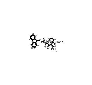 C=CC(C(=O)CNC(=O)OCC1c2ccccc2-c2ccccc21)C1(C(=O)OC)CCCN1